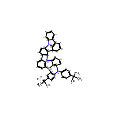 CC(C)(C)c1ccc(N2c3ccc(C(C)(C)C)cc3B3c4c2cccc4-n2c4c3cccc4c3ccc4c(c5cccc6c7ccccc7n4c65)c32)cc1